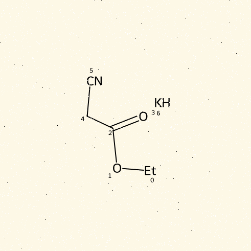 CCOC(=O)CC#N.[KH]